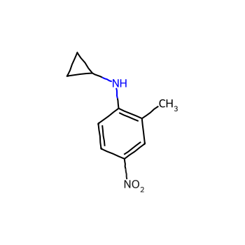 Cc1cc([N+](=O)[O-])ccc1NC1CC1